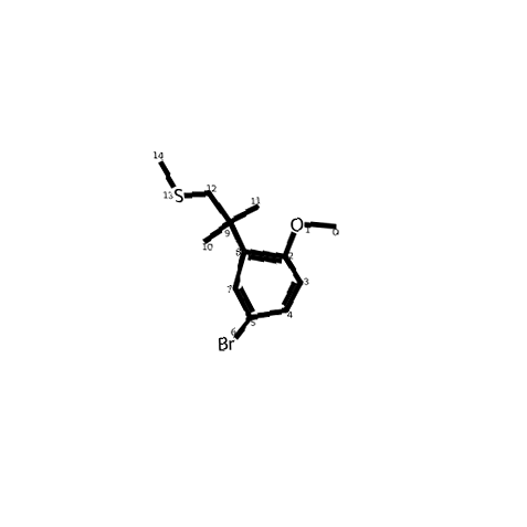 COc1ccc(Br)cc1C(C)(C)CSC